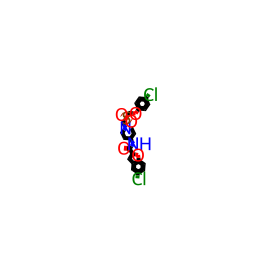 O=C(NC1CCN(CS(=O)(=O)COc2ccc(Cl)cc2)CC1)C1Cc2cc(Cl)ccc2O1